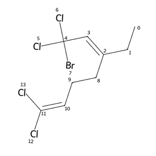 CCC(=CC(Cl)(Cl)Br)CCC=C(Cl)Cl